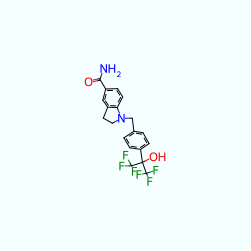 NC(=O)c1ccc2c(c1)CCN2Cc1ccc(C(O)(C(F)(F)F)C(F)(F)F)cc1